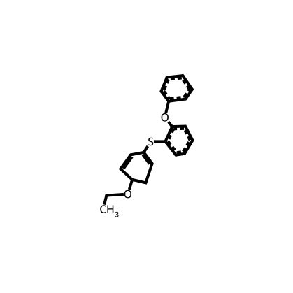 CCOC1C=CC(Sc2ccccc2Oc2ccccc2)=CC1